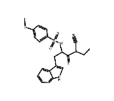 CCN(C#N)C(=O)C(Cc1c[nH]c2ccccc12)NS(=O)(=O)c1ccc(OC)cc1